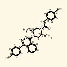 C[C@H]1CN(c2nnc(-c3ccc(F)cc3)c3ccccc23)[C@@H](C)CN1C(=O)Nc1ccc(F)cc1